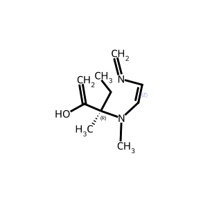 C=N/C=C\N(C)[C@](C)(CC)C(=C)O